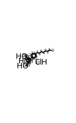 CCCCCCCCc1ccc([C@H]2C[C@H](CO)N[C@H]2CO)cc1.Cl